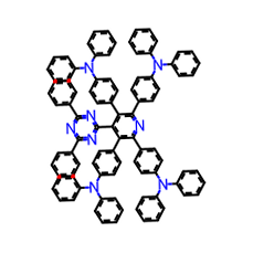 c1ccc(-c2nc(-c3ccccc3)nc(-c3c(-c4ccc(N(c5ccccc5)c5ccccc5)cc4)c(-c4ccc(N(c5ccccc5)c5ccccc5)cc4)nc(-c4ccc(N(c5ccccc5)c5ccccc5)cc4)c3-c3ccc(N(c4ccccc4)c4ccccc4)cc3)n2)cc1